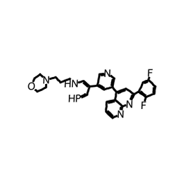 Fc1ccc(F)c(-c2cc(-c3cncc(/C(C=P)=C/NCCCN4CCOCC4)c3)c3cccnc3n2)c1